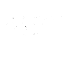 COC(=O)NC(=S)Nc1ccc(OCSC)cc1NC(C)=O